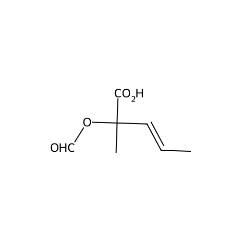 CC=CC(C)(OC=O)C(=O)O